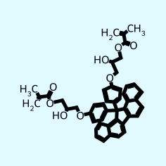 C=C(C)C(=O)OCC(O)COc1ccc(C2(c3ccc(OCC(O)COC(=O)C(=C)C)cc3)c3c(ccc4ccccc34)-c3ccc4ccccc4c32)cc1